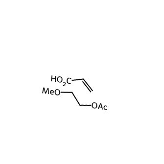 C=CC(=O)O.COCCOC(C)=O